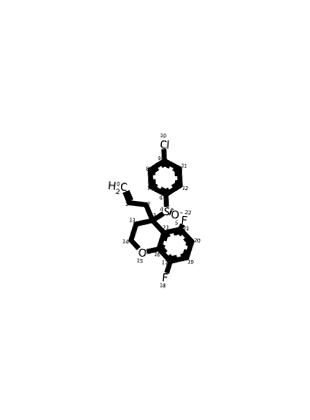 C=CCC1([S+]([O-])c2ccc(Cl)cc2)CCOc2c(F)ccc(F)c21